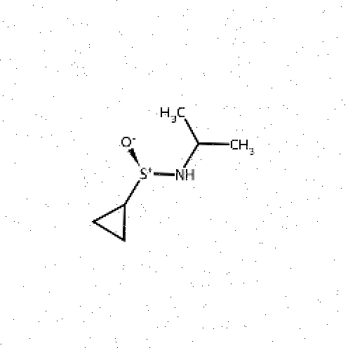 CC(C)N[S@+]([O-])C1CC1